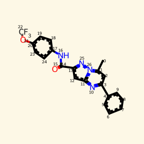 Cc1cc(-c2ccccc2)nc2cc(C(=O)Nc3ccc(OC(F)(F)F)cc3)nn12